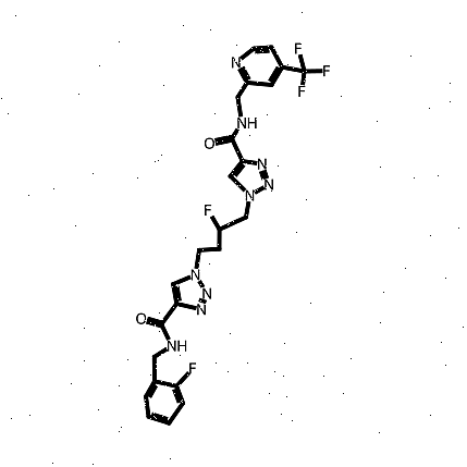 O=C(NCc1ccccc1F)c1cn(CCC(F)Cn2cc(C(=O)NCc3cc(C(F)(F)F)ccn3)nn2)nn1